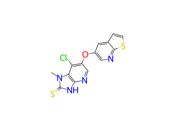 Cn1c(=S)[nH]c2ncc(Oc3cnc4sccc4c3)c(Cl)c21